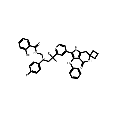 O=C(NC[C@@H](CC(F)(F)c1cc(-c2[nH]c3c(c2Nc2ccccc2)C(=O)NC2(CCC2)C3)ccn1)c1ccc(F)cc1)c1ccccc1O